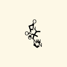 CC1N2C(=O)CC2S(=O)(=O)C1(C)Cn1ccnn1